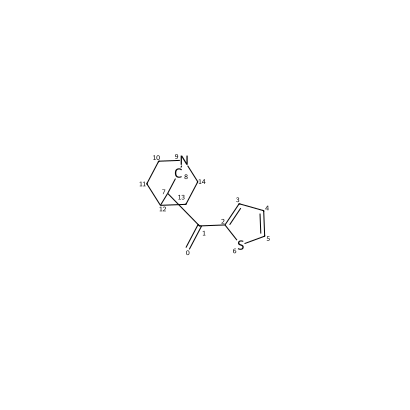 C=C(c1cccs1)C1CN2CCC1CC2